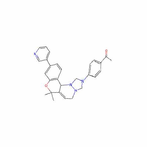 CC(=O)c1ccc(N2CN3CC=C4C(c5ccc(-c6cccnc6)cc5OC4(C)C)N3C2)cc1